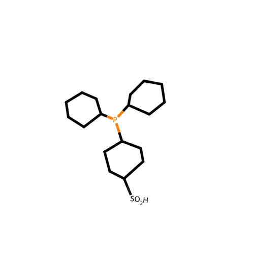 O=S(=O)(O)C1CCC(P(C2CCCCC2)C2CCCCC2)CC1